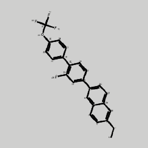 CCc1ccc2cc(-c3ccc(-c4ccc(OC(F)(F)F)cc4)c(F)c3)ccc2c1